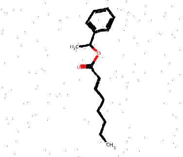 CCCCCCCC(=O)OC(C)c1ccccc1